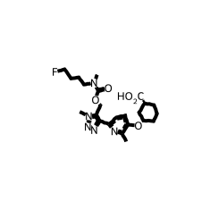 Cc1nc(-c2nnn(C)c2COC(=O)N(C)CCCCF)ccc1O[C@H]1CCC[C@H](C(=O)O)C1